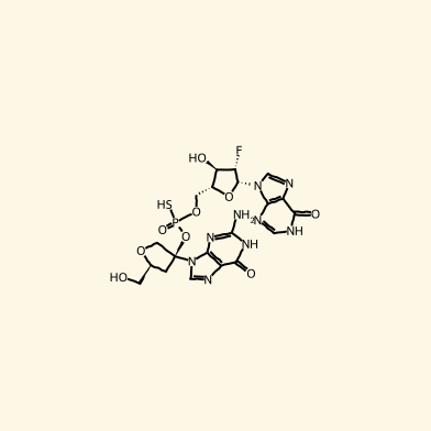 Nc1nc2c(ncn2[C@@]2(OP(=O)(S)OC[C@H]3O[C@@H](n4cnc5c(=O)[nH]cnc54)[C@@H](F)[C@@H]3O)CO[C@H](CO)C2)c(=O)[nH]1